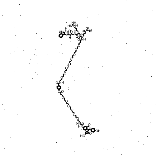 N=C(N)NCCCC[C@H](NC(=O)[C@H](CCCNC(=N)N)NC(=O)CCOCCOCCOCCOCCOCCOCCOCCOCCNC(=O)c1ccc(OC(=O)CCOCCOCCOCCOCCOCCOCCNC(=S)Nc2ccc3c(c2)C(=O)OC32c3ccc(O)cc3Oc3cc(O)ccc32)cc1)C(=O)NCC(=O)N[C@@H](Cc1c[nH]c2ccccc12)C(=O)O